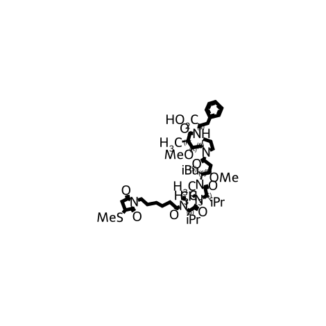 CC[C@H](C)[C@@H]([C@@H](CC(=O)N1CCC[C@H]1[C@H](OC)[C@@H](C)C(=O)N[C@@H](Cc1ccccc1)C(=O)O)OC)N(C)C(=O)[C@H](C(C)C)N(C)C(=O)[C@H](C(C)C)N(C)C(=O)CCCCCN1C(=O)CC(SC)C1=O